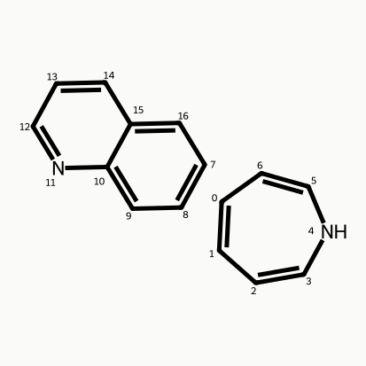 C1=CC=CNC=C1.c1ccc2ncccc2c1